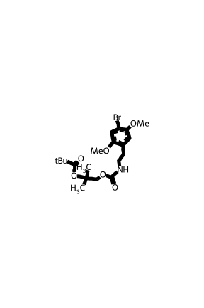 COc1cc(CCNC(=O)OCC(C)(C)OC(=O)C(C)(C)C)c(OC)cc1Br